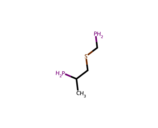 CC(P)CSCP